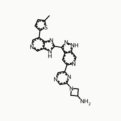 Cc1ccc(-c2cncc3[nH]c(-c4n[nH]c5cnc(-c6cncc(N7CC(N)C7)n6)cc45)nc23)s1